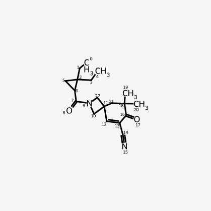 CCC1(CC)CC1C(=O)N1CC2(C=C(C#N)C(=O)C(C)(C)C2)C1